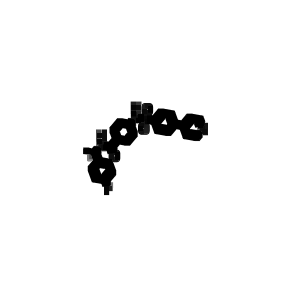 C[C@@H](NC(=O)C1CCC(NS(=O)(=O)c2ccc(-c3ccncc3)cc2)CC1)c1ccc(F)cc1